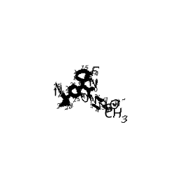 C[S+]([O-])N1CCN(C(=O)c2cnc3c(F)cccc3c2-c2ccc(C3(C#N)CC3)cc2)CC1